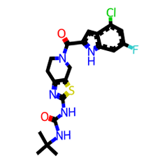 CC(C)(C)NC(=O)Nc1nc2c(s1)CN(C(=O)c1cc3c(Cl)cc(F)cc3[nH]1)CC2